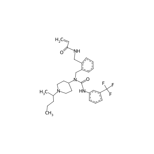 C=CC(=O)NCc1ccccc1CN(C(=O)Nc1cccc(C(F)(F)F)c1)C1CCN(C(C)CCC)CC1